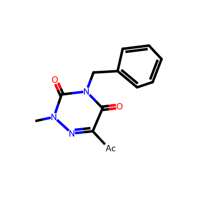 CC(=O)c1nn(C)c(=O)n(Cc2ccccc2)c1=O